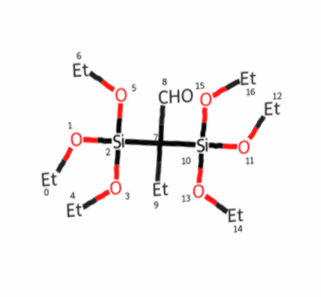 CCO[Si](OCC)(OCC)C(C=O)(CC)[Si](OCC)(OCC)OCC